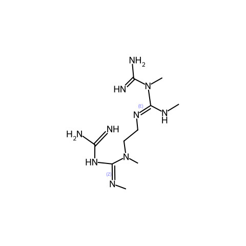 C/N=C(/NC(=N)N)N(C)CC/N=C(\NC)N(C)C(=N)N